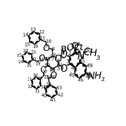 CCCCCCCCOc1c(O[C@@H]2O[C@H](COCc3ccccc3)[C@H](OCc3ccccc3)[C@H](OCc3ccccc3)[C@H]2OCc2ccccc2)c2ccc(N)cc2n(C)c1=O